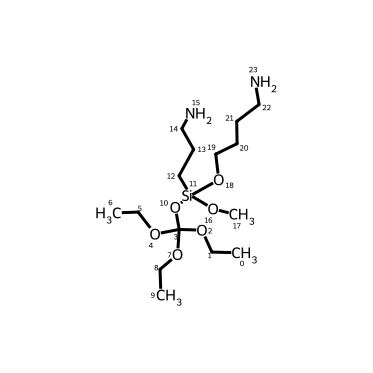 CCOC(OCC)(OCC)O[Si](CCCN)(OC)OCCCCN